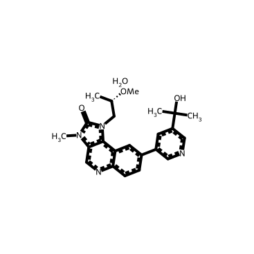 CO[C@@H](C)Cn1c(=O)n(C)c2cnc3ccc(-c4cncc(C(C)(C)O)c4)cc3c21.O